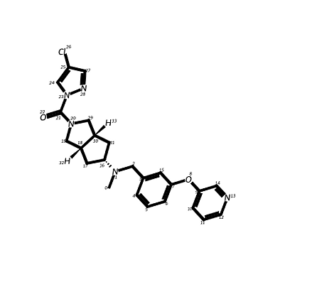 CN(Cc1cccc(Oc2cccnc2)c1)[C@@H]1C[C@@H]2CN(C(=O)n3cc(Cl)cn3)C[C@@H]2C1